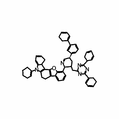 C1=CCCC(c2cccc([C@@H]3C=NC(c4cccc5c6c(oc45)C4=C(CC6)N(C5=CCCCC5)C5=CC=CCC54)C(Cc4nc(C5=CC=CCC5)nc(C5C=CC=CC5)n4)C3)c2)=C1